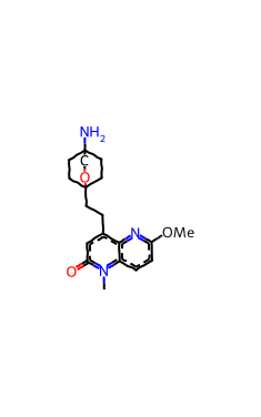 COc1ccc2c(n1)c(CCC13CCC(N)(CC1)CO3)cc(=O)n2C